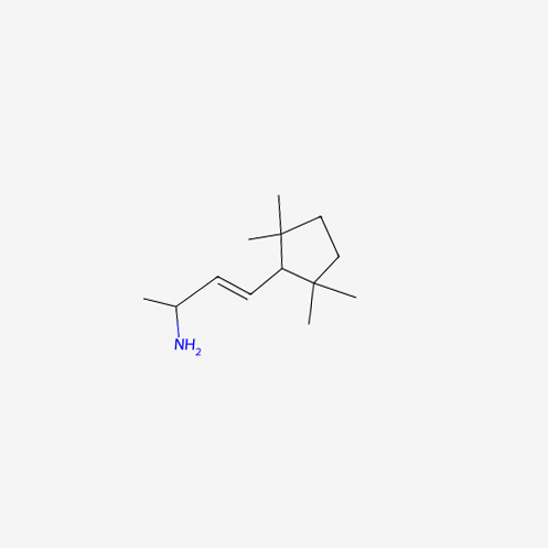 CC(N)C=CC1C(C)(C)CCC1(C)C